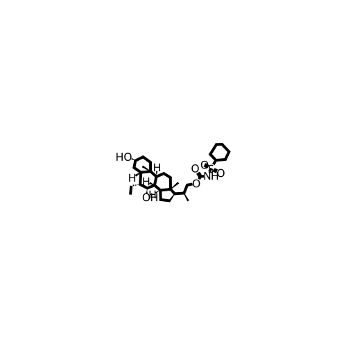 CC[C@H]1[C@@H](O)[C@@H]2[C@H](CC[C@]3(C)[C@@H]([C@H](C)COC(=O)NS(=O)(=O)C4CCCCC4)CC[C@@H]23)[C@@]2(C)CC[C@@H](O)C[C@@H]12